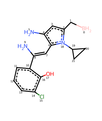 BCc1cc(N)c(/C=C(\N)c2cccc(Cl)c2O)n1C1CC1